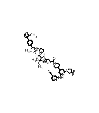 Cc1ncsc1-c1ccc([C@H](C)NC(=O)[C@@H]2CCCN2C(=O)[C@@H](NC(=O)CCC(=O)N2CCC(c3cc(Nc4cc(C#N)ccn4)nc(N4CCC(F)(F)C4)c3)CC2)C(C)(C)C)cc1